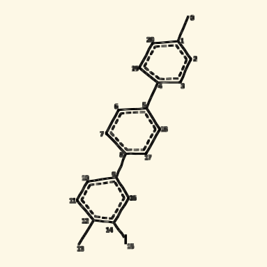 Cc1ccc(-c2ccc(-c3ccc(C)c(I)c3)cc2)cc1